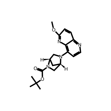 COc1ccc2nccc(N3C[C@@H]4C[C@H]3CN4C(=O)OC(C)(C)C)c2n1